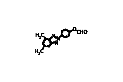 Cc1cc(C)c2nn(-c3ccc(O[C]=O)cc3)nc2c1